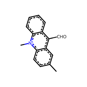 Cc1ccc2c(c1)c(C=O)c1ccccc1[n+]2C